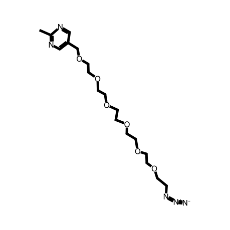 Cc1ncc(COCCOCCOCCOCCOCCOCCN=[N+]=[N-])cn1